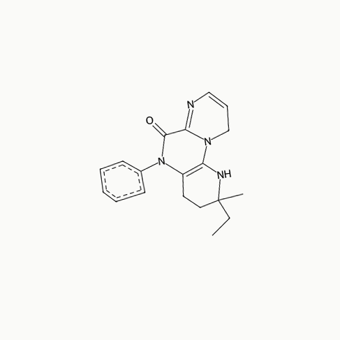 CCC1(C)CCC2=C(N1)N1CC=CN=C1C(=O)N2c1ccccc1